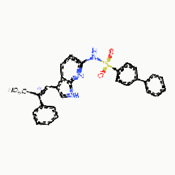 O=C(O)/C(=C/c1c[nH]c2nc(NS(=O)(=O)c3ccc(-c4ccccc4)cc3)ccc12)c1ccccc1